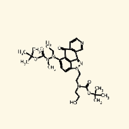 CCN(c1ccc2c3c(nn2CCN(CCO)C(=O)OC(C)(C)C)-c2cnccc2C(=O)c13)N(C)C(=O)OC(C)(C)C